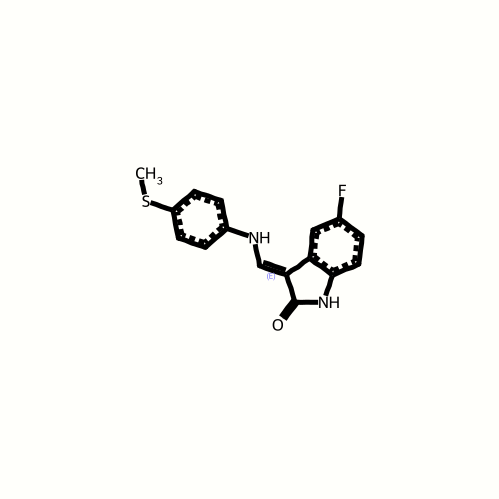 CSc1ccc(N/C=C2/C(=O)Nc3ccc(F)cc32)cc1